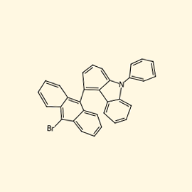 Brc1c2ccccc2c(-c2cccc3c2c2ccccc2n3-c2ccccc2)c2ccccc12